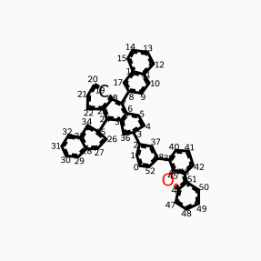 c1cc(-c2ccc3c(-c4ccc5ccccc5c4)c4ccccc4c(-c4ccc5ccccc5c4)c3c2)cc(-c2cccc3c2oc2ccccc23)c1